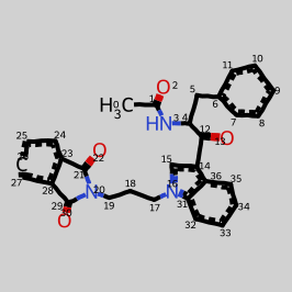 CC(=O)NC(Cc1ccccc1)C(=O)c1cn(CCCN2C(=O)c3ccccc3C2=O)c2ccccc12